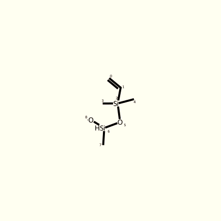 C=C[Si](C)(C)O[SiH](C)[O]